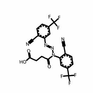 N#Cc1ccc(C(F)(F)F)cc1N=NN(C(=O)CCC(=O)O)c1cc(C(F)(F)F)ccc1C#N